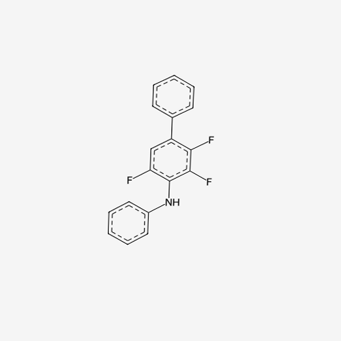 Fc1cc(-c2ccccc2)c(F)c(F)c1Nc1ccccc1